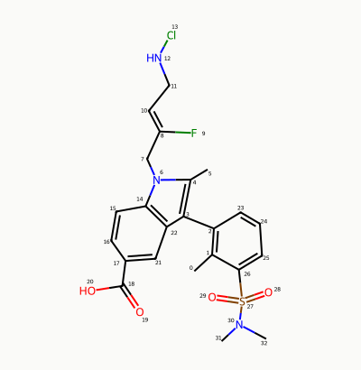 Cc1c(-c2c(C)n(C/C(F)=C/CNCl)c3ccc(C(=O)O)cc23)cccc1S(=O)(=O)N(C)C